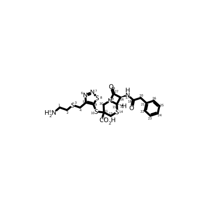 NCCSCc1nnsc1SC1(C(=O)O)CS[C@@H]2[C@H](NC(=O)Cc3ccccc3)C(=O)N2C1